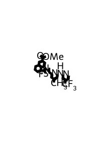 COC(=O)c1ccc2c(c1)CCC[C@]2(F)c1ncc(-c2cc(C)cc(Nc3cc(C(F)(F)F)ccn3)n2)s1